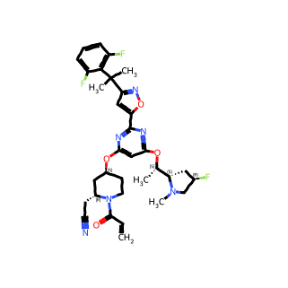 C=CC(=O)N1CC[C@H](Oc2cc(O[C@@H](C)[C@@H]3C[C@@H](F)CN3C)nc(-c3cc(C(C)(C)c4c(F)cccc4F)no3)n2)C[C@H]1CC#N